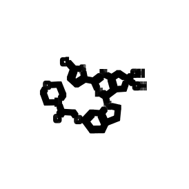 O=C(COc1ccc2c(c1)N(c1nc(-c3ccc(Cl)s3)nc3c1CS(O)(O)C3)CC2)N1CCOCC1